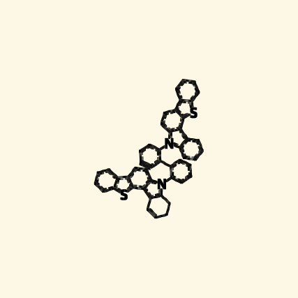 c1ccc(-n2c3ccccc3c3c4sc5ccccc5c4ccc32)c(-c2ccccc2-n2c3c(c4c5sc6ccccc6c5ccc42)C=CCC3)c#1